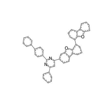 c1ccc(-c2ccc(-c3nc(-c4ccccc4)cc(-c4ccc5c(c4)oc4c(-c6cccc7c6oc6ccccc67)cccc45)n3)cc2)cc1